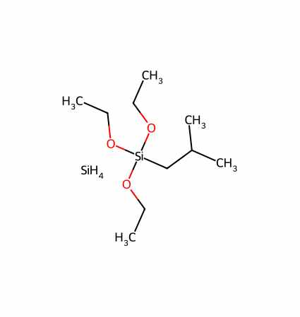 CCO[Si](CC(C)C)(OCC)OCC.[SiH4]